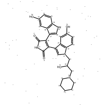 O=C1NC(=O)C(c2cn(CC(O)CN3CCCCC3)c3ccc(O)cc23)=C1c1c[nH]c2ccc(O)cc12